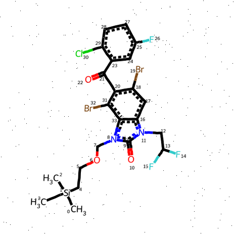 C[Si](C)(C)CCOCn1c(=O)n(CC(F)F)c2cc(Br)c(C(=O)c3cc(F)ccc3Cl)c(Br)c21